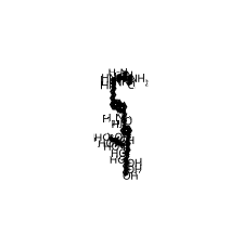 N=C(NCCCCc1ccc2cc(C[C@H](N)C(=O)Nc3ccc(CCCN(C[C@H](O)C[C@@H](O)[C@H](O)C[C@H](O)CO)C[C@H](O)[C@@H](O)[C@H](O)[C@H](O)CO)cc3)ccc2c1)NC(=O)c1nc(Cl)c(N)nc1N